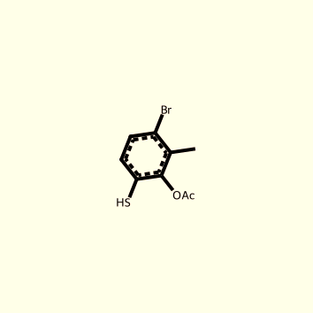 CC(=O)Oc1c(S)ccc(Br)c1C